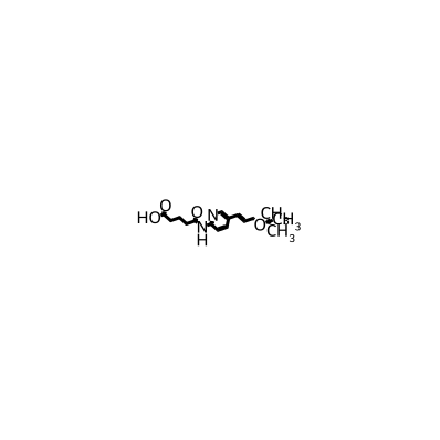 CC(C)(C)OC/C=C/c1ccc(NC(=O)CCCC(=O)O)nc1